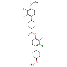 CCCCOc1ccc(C2CCC(C(=O)Oc3ccc(C4CCC(OCCCC)CC4)c(F)c3F)CC2)c(F)c1F